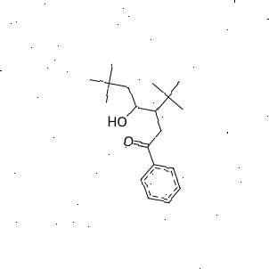 CC(C)(C)CC(O)C(CC(=O)c1ccccc1)C(C)(C)C